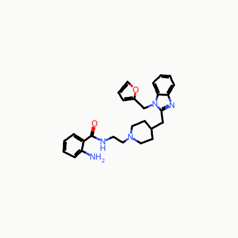 Nc1ccccc1C(=O)NCCN1CCC(Cc2nc3ccccc3n2Cc2ccco2)CC1